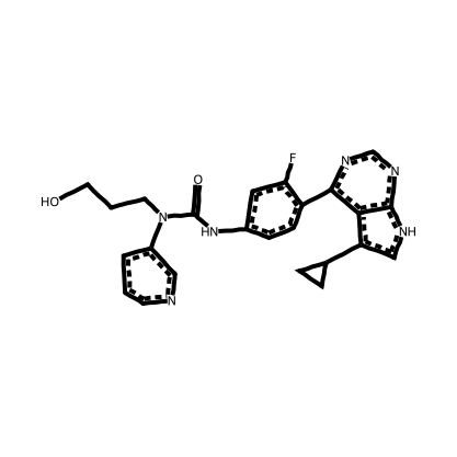 O=C(Nc1ccc(-c2ncnc3[nH]cc(C4CC4)c23)c(F)c1)N(CCCO)c1cccnc1